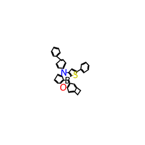 c1ccc(-c2ccc(N3c4cc(-c5ccccc5)sc4B4c5cc6c(cc5Oc5cccc3c54)CC6)cc2)cc1